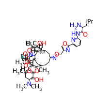 CCC(=O)/N=C1\[C@H](C)C[C@@]2(C)CC/C(=N/OCc3coc(-c4cccc(NC(=O)C(N)CC(C)C)n4)n3)CC[C@H]([C@H]1C)[C@](C)(O)[C@@H](CC)OC(=O)[C@@](C)(F)C(=O)[C@H](C)[C@H]2O[C@@H]1O[C@H](C)CC(N(C)C)[C@H]1O